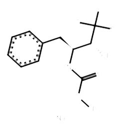 CC(C)(C)OC(=O)N[C@@H](Cc1ccccc1)[C@@H](O)C(F)(F)C(=O)[O-].[Na+]